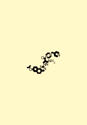 CC(C)Oc1ccc2c(c1)CCc1cnc(-n3cc(C(=O)N4CCN(Cc5ccncc5)CC4)c(N)n3)nc1-2